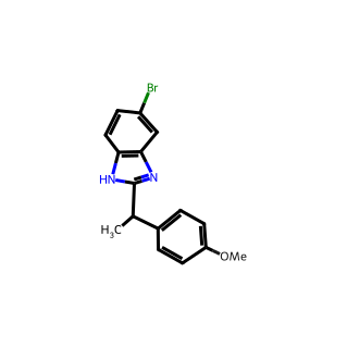 COc1ccc(C(C)c2nc3cc(Br)ccc3[nH]2)cc1